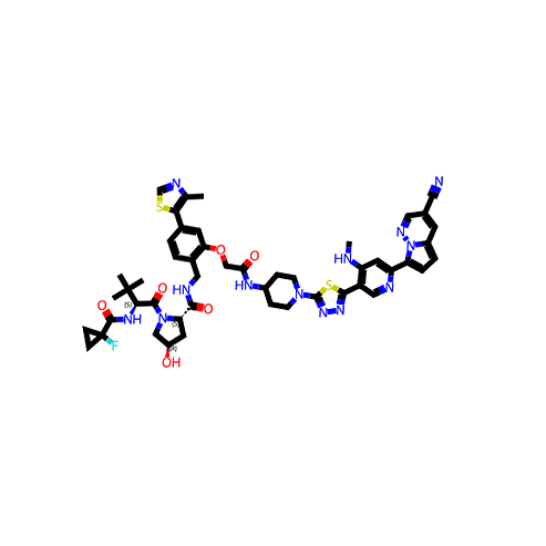 CNc1cc(-c2ccc3cc(C#N)cnn23)ncc1-c1nnc(N2CCC(NC(=O)COc3cc(-c4scnc4C)ccc3CNC(=O)[C@@H]3C[C@@H](O)CN3C(=O)[C@@H](NC(=O)C3(F)CC3)C(C)(C)C)CC2)s1